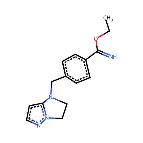 CCOC(=N)c1ccc(CN2CCn3nccc32)cc1